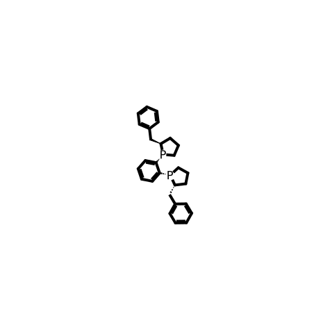 c1ccc(C[C@H]2CCC[P@]2c2ccccc2[P@]2CCC[C@@H]2Cc2ccccc2)cc1